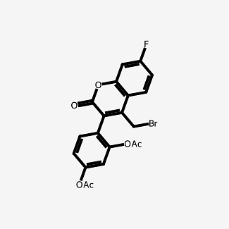 CC(=O)Oc1ccc(-c2c(CBr)c3ccc(F)cc3oc2=O)c(OC(C)=O)c1